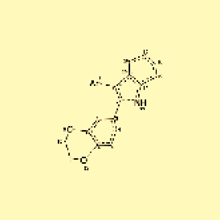 CC(=O)c1c(-c2ccc3c(c2)OCCO3)[nH]c2ccccc12